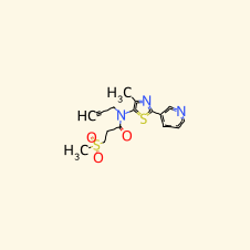 C#CCN(C(=O)CCS(C)(=O)=O)c1sc(-c2cccnc2)nc1C